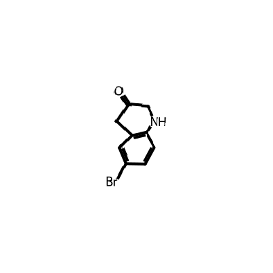 O=C1CNc2ccc(Br)cc2C1